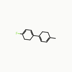 CC1=CC=C(C2=CC=C(F)CC2)CC1